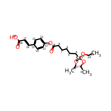 CCO[Si](CCCCCC(=O)Oc1ccc(C=CC(=O)O)cc1)(OCC)OCC